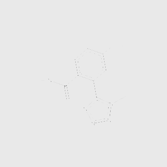 Cn1nnnc1-c1cc(C(F)(F)F)ccc1C(N)=O